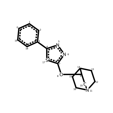 c1ccc(-c2nnc(OC3CN4CCC3CC4)s2)cc1